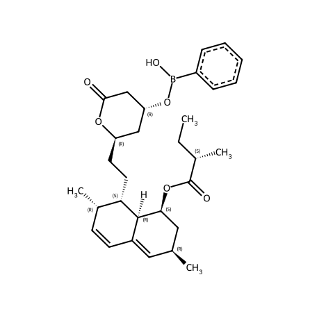 CC[C@H](C)C(=O)O[C@H]1C[C@@H](C)C=C2C=C[C@H](C)[C@H](CC[C@@H]3C[C@@H](OB(O)c4ccccc4)CC(=O)O3)[C@H]21